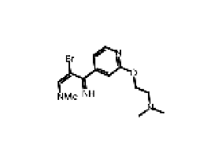 CN/C=C(/Br)C(=N)c1ccnc(OCCN(C)C)c1